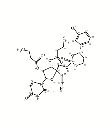 CCCC(=O)O[C@H]1C(n2ccc(=O)[nH]c2=O)O[C@@](COP2(=O)OCC[C@@H](c3cccc(Cl)c3)O2)(N=[N+]=[N-])[C@H]1OC(=O)CCC